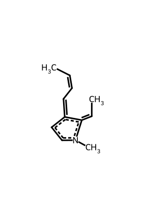 C\C=C/C=c1/ccn(C)/c1=C/C